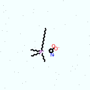 CCCCCCCCCCCCCC[P+](CCCCCC)(CCCCCC)CCCCCC.CN(C)c1cccc(C(=O)[O-])c1